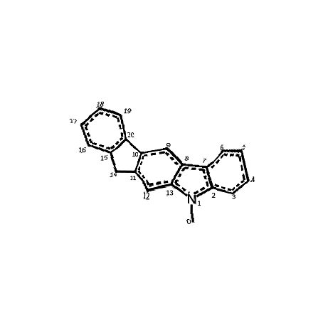 Cn1c2ccccc2c2cc3c(cc21)Cc1ccccc1-3